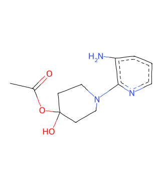 CC(=O)OC1(O)CCN(c2ncccc2N)CC1